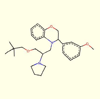 COc1cccc(C2COc3ccccc3N2CC(COCC(C)(C)C)N2CCCC2)c1